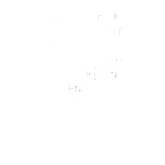 CCOC(=O)C=Cc1cc(C(F)(F)F)cc(S(=O)(=O)N(C)C[C@H](O)CNC(C)(C)CC2Cc3ccccc3C2)c1